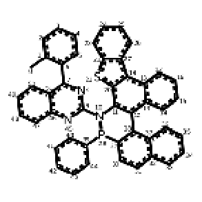 Cc1ccccc1-c1nc(N2c3c(c4ccccc4c4c3sc3ccccc34)-c3c(ccc4ccccc34)P2c2ccccc2)nc2ccccc12